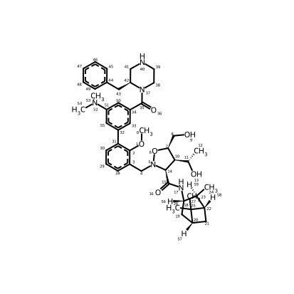 COc1c(CN2O[C@@H](CO)[C@@H]([C@H](C)O)[C@H]2C(=O)N[C@H]2C[C@H]3C[C@@H]([C@@H]2C)C3(C)C)cccc1-c1cc(C(=O)N2CCNC[C@@H]2Cc2ccccc2)cc(N(C)C)c1